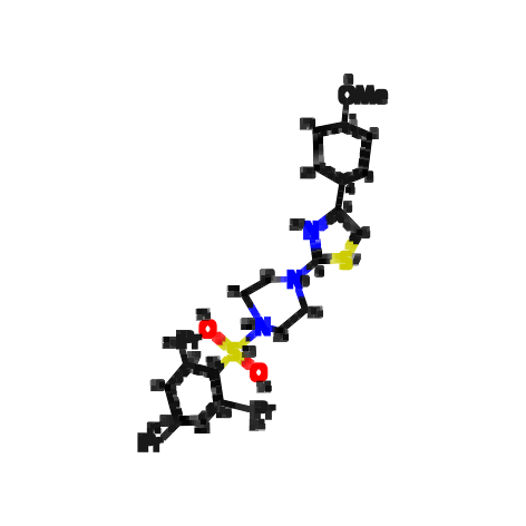 COc1ccc(-c2csc(N3CCN(S(=O)(=O)c4c(C(C)C)cc(C(C)C)cc4C(C)C)CC3)n2)cc1